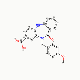 COc1ccc(CN2C(=O)c3ccccc3Nc3ccc(C(=O)O)cc32)cc1